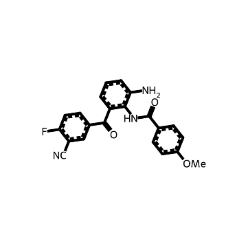 COc1ccc(C(=O)Nc2c(N)cccc2C(=O)c2ccc(F)c(C#N)c2)cc1